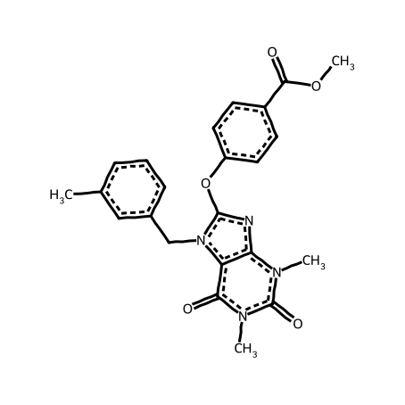 COC(=O)c1ccc(Oc2nc3c(c(=O)n(C)c(=O)n3C)n2Cc2cccc(C)c2)cc1